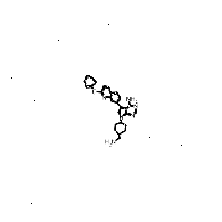 NCC1CCC(n2cc(-c3ccc4ccc(Oc5ccccc5)nc4c3)c3c(N)ncnc32)CC1